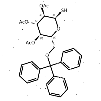 CC(=O)O[C@@H]1[C@@H](OC(C)=O)[C@@H](S)O[C@H](COC(c2ccccc2)(c2ccccc2)c2ccccc2)[C@H]1OC(C)=O